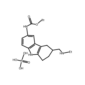 CCNCC1CCc2[nH]c3ccc(NC(=O)OC(C)C)cc3c2C1.O=P(O)(O)O